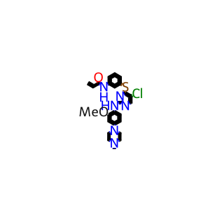 C=CC(=O)Nc1cccc(Sc2nc(Nc3ccc(N4CCN(C)CC4)cc3OC)ncc2Cl)c1